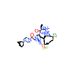 C=CC(C(=O)Nc1cn(CC(=O)N2CCN(c3ccccc3)CC2)nc1-c1cc(Cl)ccc1OC(F)F)=C(NC)NC